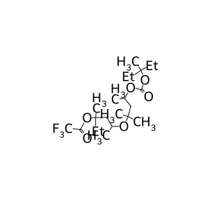 CCC(C)(CC)OC(=O)OC(C)CC(C)(C)OC(C)CC(C)(CC)OC(=O)C(F)(F)F